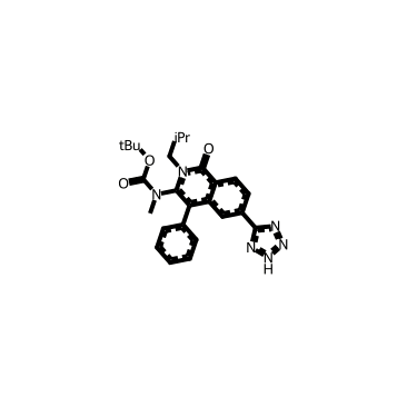 CC(C)Cn1c(N(C)C(=O)OC(C)(C)C)c(-c2ccccc2)c2cc(-c3nn[nH]n3)ccc2c1=O